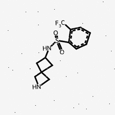 O=S(=O)(NC1CC2(CNC2)C1)c1ccccc1C(F)(F)F